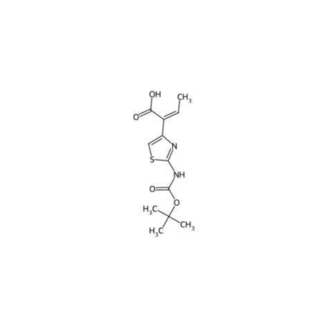 C/C=C(\C(=O)O)c1csc(NC(=O)OC(C)(C)C)n1